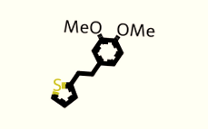 COc1ccc(CCc2cccs2)cc1OC